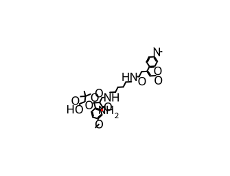 COc1ccc(C2(C(C(N)=O)C(=O)NCCCCCCNC(=O)Cc3cc(=O)oc4cc(N(C)C)ccc34)OCC(C)(C)C(C(=O)O)O2)cc1